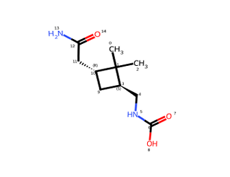 CC1(C)[C@@H](CNC(=O)O)C[C@@H]1CC(N)=O